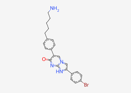 NCCCCCc1ccc(-c2cn3cc(-c4ccc(Br)cc4)[nH]c3nc2=O)cc1